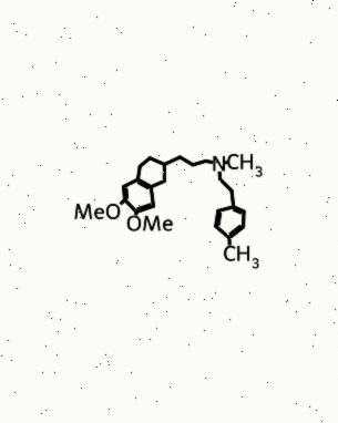 COc1cc2c(cc1OC)CC(CCCN(C)CCc1ccc(C)cc1)CC2